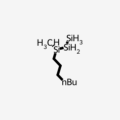 CCCCCCC[SiH](C)[SiH2][SiH3]